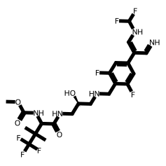 COC(=O)NC(C(=O)NC[C@@H](O)CNCc1c(F)cc(/C(C=N)=C/NC(F)F)cc1F)C(C)(C)C(F)(F)F